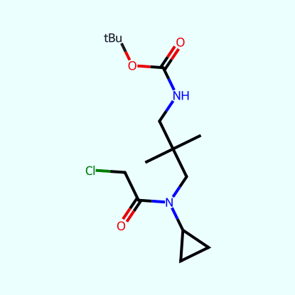 CC(C)(CNC(=O)OC(C)(C)C)CN(C(=O)CCl)C1CC1